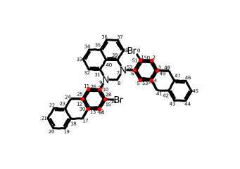 Brc1cc2c(cc1N1CN(c3cc4c(cc3Br)C3c5ccccc5C4c4ccccc43)c3cccc4cccc1c34)C1c3ccccc3C2c2ccccc21